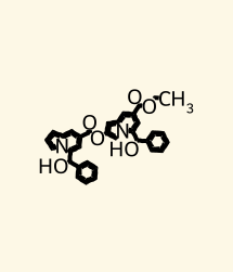 CCOC(=O)c1cc(C(O)c2ccccc2)n2cc(OC(=O)c3cc(C(O)c4ccccc4)n4cccc4c3)cc2c1